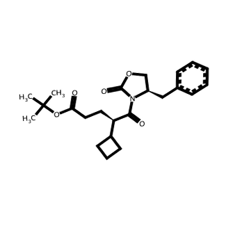 CC(C)(C)OC(=O)CC[C@@H](C(=O)N1C(=O)OC[C@H]1Cc1ccccc1)C1CCC1